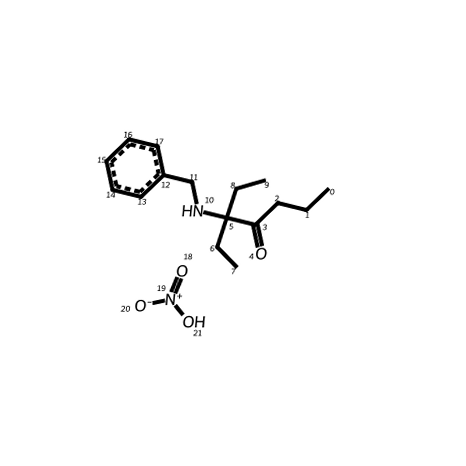 CCCC(=O)C(CC)(CC)NCc1ccccc1.O=[N+]([O-])O